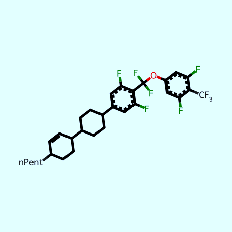 CCCCCC1C=CC(C2CCC(c3cc(F)c(C(F)(F)Oc4cc(F)c(C(F)(F)F)c(F)c4)c(F)c3)CC2)CC1